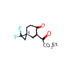 CCOC(=O)C(=O)C1C[C@@]2(CCC1=O)CC2(F)F